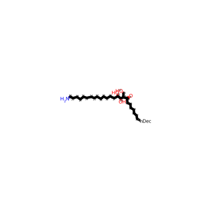 CCCCCCCCCCCCCCCCCC(=O)C(CO)C(O)C(O)CCCCCCCCCCCCCCN